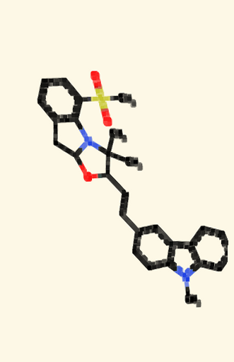 Cn1c2ccccc2c2cc(C=CC3OC4Cc5cccc(S(C)(=O)=O)c5N4C3(C)C)ccc21